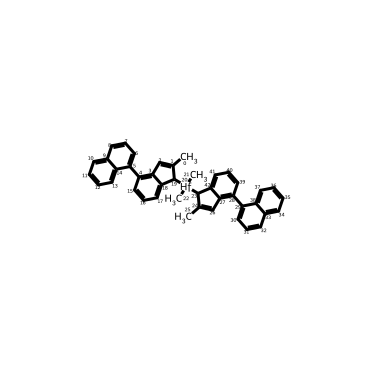 CC1=Cc2c(-c3cccc4ccccc34)cccc2[CH]1[Hf]([CH3])([CH3])[CH]1C(C)=Cc2c(-c3cccc4ccccc34)cccc21